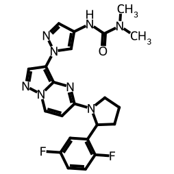 CN(C)C(=O)Nc1cnn(-c2cnn3ccc(N4CCCC4c4cc(F)ccc4F)nc23)c1